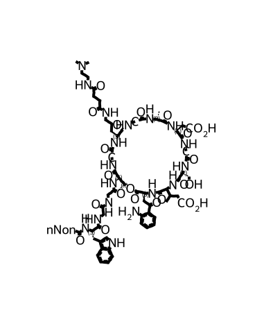 CCCCCCCCCC(=O)N[C@@H](Cc1c[nH]c2ccccc12)C(=O)NCC(=O)NCC(=O)N[C@@H]1C(=O)NCC(=O)N[C@@H](CCCNC(=O)CCC(=O)NCCN(C)C)C(=O)NCC(=O)N[C@H](C)C(=O)N[C@@H](CC(=O)O)C(=O)NCC(=O)N[C@H](CO)C(=O)NC(C(C)CC(=O)O)C(=O)N[C@@H](CC(=O)c2ccccc2N)C(=O)O[C@@H]1C